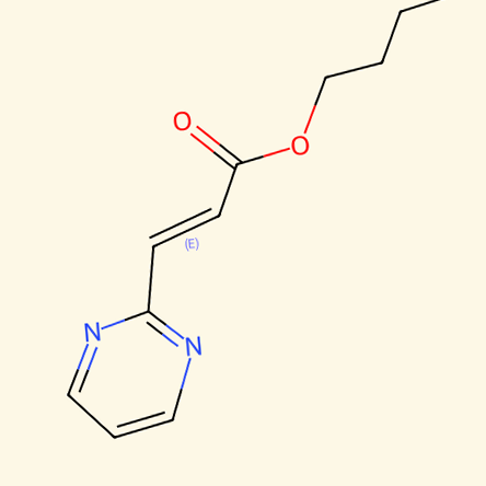 CCCCOC(=O)/C=C/c1ncccn1